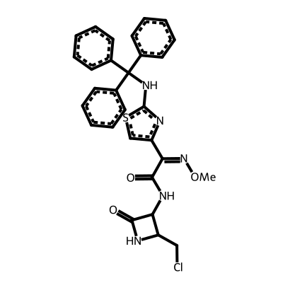 CO/N=C(\C(=O)NC1C(=O)NC1CCl)c1csc(NC(c2ccccc2)(c2ccccc2)c2ccccc2)n1